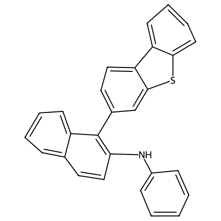 c1ccc(Nc2ccc3ccccc3c2-c2ccc3c(c2)sc2ccccc23)cc1